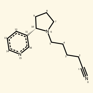 N#CCCCCN1CCC[C@H]1c1cccnc1